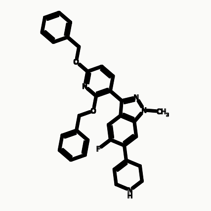 Cn1nc(-c2ccc(OCc3ccccc3)nc2OCc2ccccc2)c2cc(F)c(C3=CCNCC3)cc21